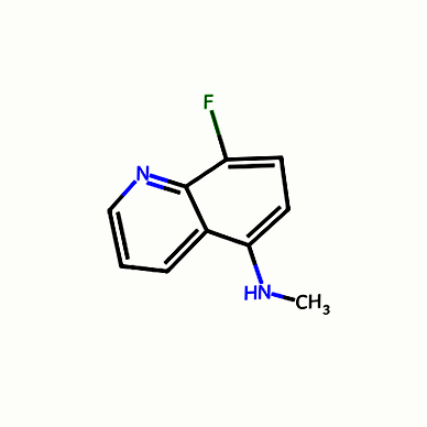 CNc1ccc(F)c2ncccc12